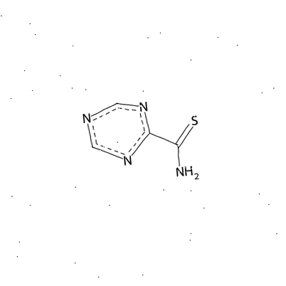 NC(=S)c1ncncn1